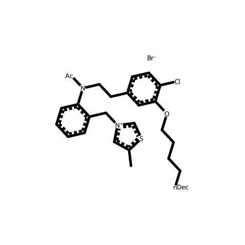 CCCCCCCCCCCCCCOc1cc(CCN(C(C)=O)c2ccccc2C[n+]2csc(C)c2)ccc1Cl.[Br-]